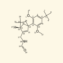 COc1cc(C(C)(C)C)cc(OC)c1C12C=C(CNC=O)[C@@H](C1)C(C)(C)C2